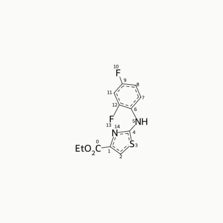 CCOC(=O)c1csc(Nc2ccc(F)cc2F)n1